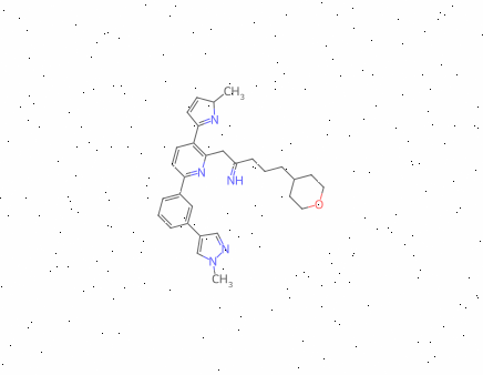 CC1C=CC(c2ccc(-c3cccc(-c4cnn(C)c4)c3)nc2CC(=N)CCCC2CCOCC2)=N1